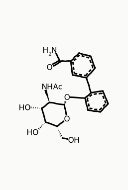 CC(=O)N[C@H]1[C@H](Oc2ccccc2-c2cccc(C(N)=O)c2)O[C@H](CO)[C@H](O)[C@@H]1O